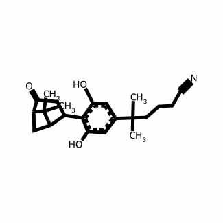 CC(C)(CCCC#N)c1cc(O)c(C2CC(=O)C3CC2C3(C)C)c(O)c1